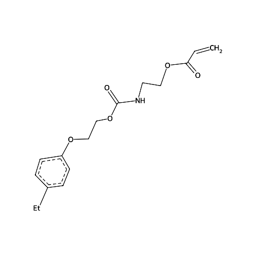 C=CC(=O)OCCNC(=O)OCCOc1ccc(CC)cc1